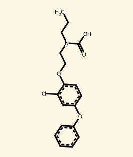 CCCN(CCOc1ccc(Oc2ccccc2)cc1Cl)C(=O)O